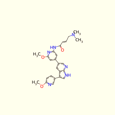 COc1ccc(-c2c[nH]c3ncc(-c4cc(NC(=O)C=CCN(C)C)nc(OC)c4)cc23)cn1